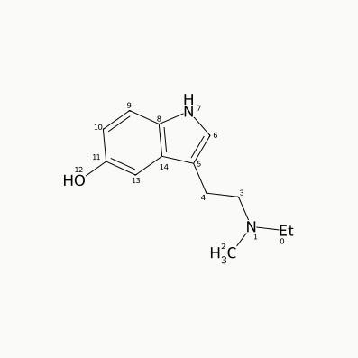 CCN(C)CCc1c[nH]c2ccc(O)cc12